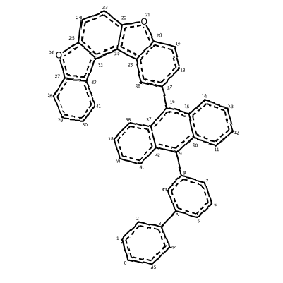 c1ccc(-c2cccc(-c3c4ccccc4c(-c4ccc5oc6ccc7oc8ccccc8c7c6c5c4)c4ccccc34)c2)cc1